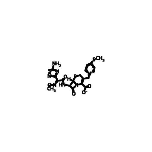 CON=C(C(=O)NC1C(=O)N2C(C(=O)[O-])=C(C[n+]3ccc(SC)cc3)CS[C@@H]12)c1nsc(N)n1